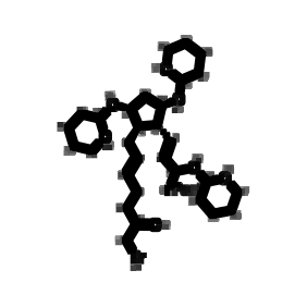 CCCCCC(C=C[C@@H]1[C@@H](CC=CCCC(=O)CBr)[C@@H](OC2CCCCO2)C[C@H]1OC1CCCCO1)OC1CCCCO1